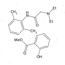 CCN(CC)CC(=O)Nc1c(C)cccc1C.COC(=O)c1ccccc1O